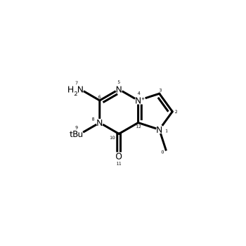 Cn1cc[n+]2nc(N)n(C(C)(C)C)c(=O)c12